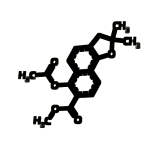 COC(=O)c1ccc2c3c(ccc2c1OC(C)=O)CC(C)(C)O3